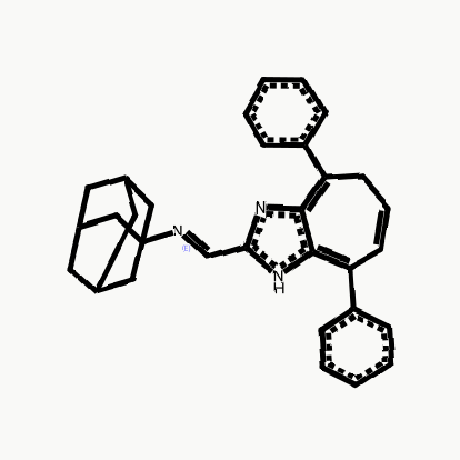 C1=CC(c2ccccc2)=c2[nH]c(/C=N/C34CC5CC(CC(C5)C3)C4)nc2=C(c2ccccc2)C1